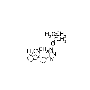 CN(C)CC1(c2cccc(-c3ncnc4c3ccn4COCCS(C)(C)C)c2)Cc2ccccc2C1